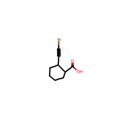 O=C(O)C1CCCCC1C#CBr